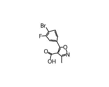 Cc1noc(-c2ccc(Br)c(F)c2)c1C(=O)O